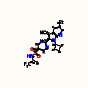 CCc1cnc2c(c1)c(C#N)c(-c1ncc(S(=O)(=O)N[C@@H](C)C(F)(F)F)cn1)n2C1CCC1